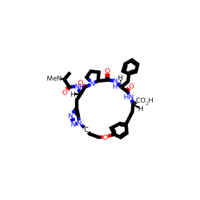 CN[C@@H](C)C(=O)N[C@H]1Cc2cn(nn2)CCCOc2ccc(cc2)C[C@@H](C(=O)O)NC(=O)[C@H](Cc2ccccc2)NC(=O)C2CCCN2C1=O